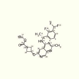 Cc1nc(N[C@H](C)c2cccc(C(F)F)c2F)c2cc(OC3CN(C(=O)OC(C)(C)C)C3)ncc2n1